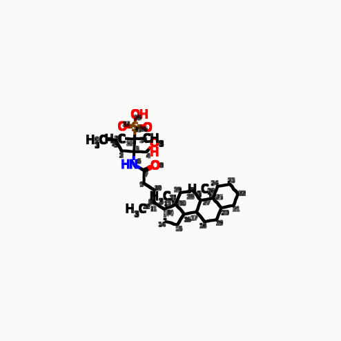 CCCC(CO)(NC(=O)CC[C@@H](C)[C@H]1CCC2C3CCC4CCCC[C@]4(C)C3CC[C@@]21C)C(C)(C)S(=O)(=O)O